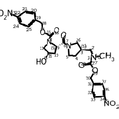 CN(C[C@H]1CCN(C(=O)[C@@H]2C[C@@H](O)CN2C(=O)OCc2ccc([N+](=O)[O-])cc2)C1)C(=O)OCc1ccc([N+](=O)[O-])cc1